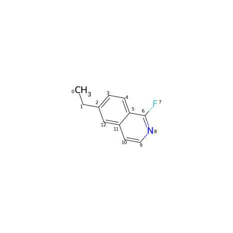 CCc1ccc2c(F)nccc2c1